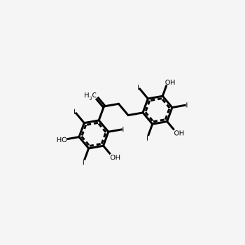 C=C(CCc1c(I)c(O)c(I)c(O)c1I)c1c(I)c(O)c(I)c(O)c1I